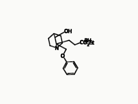 B.CCOC(=O)CCC1(COc2ccccc2)C(O)C2CCN1CC2